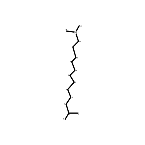 CC(C)CCCCCCCCCCN(C)C